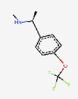 CN[C@@H](C)c1ccc(OC(F)(F)F)cc1